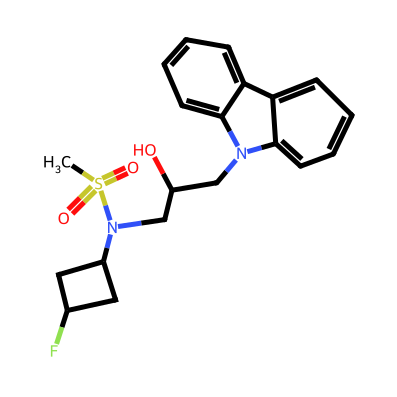 CS(=O)(=O)N(CC(O)Cn1c2ccccc2c2ccccc21)C1CC(F)C1